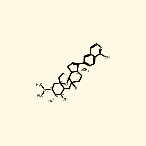 CN(C)[C@H]1C[C@@]23CC[C@]4(O2)C2CC=C(c5ccc6c(O)nccc6c5)[C@@]2(C)CCC4(F)CC3[C@@H](O)[C@@H]1O